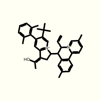 C=CC1C(C2C/C(=C(\C)O)c3cc(-c4c(C)cccc4C)c(C(C)(C)C)c[n+]32)c2cc(C)ccc2-c2ccc(C)c[n+]21